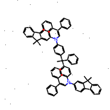 CC1(C)c2ccccc2-c2ccc(N(C=C(c3ccccc3)c3ccccc3)c3ccc(C(C)(c4ccccc4)c4ccc(N(C=C(c5ccccc5)c5ccccc5)c5ccc6c(c5)C(C)(C)c5ccccc5-6)cc4)cc3)cc21